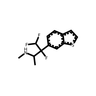 CNC(C)C(F)(c1ccc2ccsc2c1)C(F)F